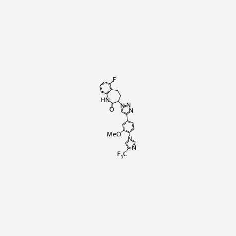 COc1cc(-c2cn(C3CCc4c(F)cccc4NC3=O)nn2)ccc1-n1cnc(C(F)(F)F)c1